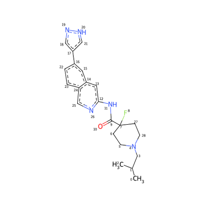 CC(C)CN1CCC(F)(C(=O)Nc2cc3cc(-c4cn[nH]c4)ccc3cn2)CC1